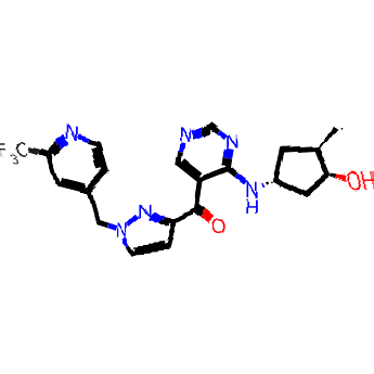 [CH2][C@@H]1C[C@@H](Nc2ncncc2C(=O)c2ccn(Cc3ccnc(C(F)(F)F)c3)n2)C[C@@H]1O